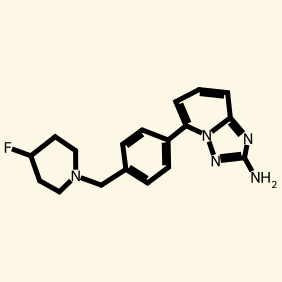 Nc1nc2cccc(-c3ccc(CN4CCC(F)CC4)cc3)n2n1